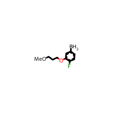 Bc1ccc(F)c(OCCCOC)c1